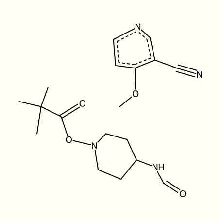 CC(C)(C)C(=O)ON1CCC(NC=O)CC1.COc1ccncc1C#N